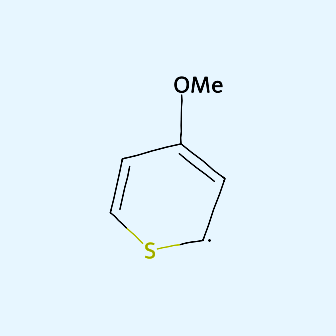 COC1=C[CH]SC=C1